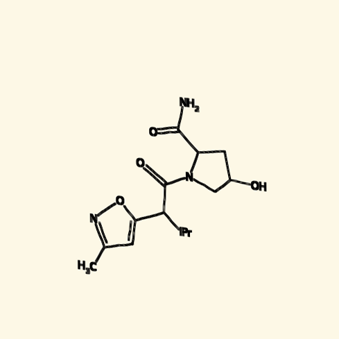 Cc1cc(C(C(=O)N2CC(O)CC2C(N)=O)C(C)C)on1